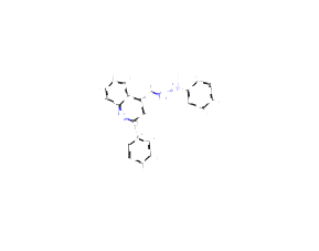 Fc1ccc(-c2cc(C=NNc3ccccc3)c3ccccc3n2)cc1